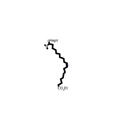 CCCCCCCC(CCCCCCCC/C=C\CCCCCCCC(=O)OCC)N(C)C